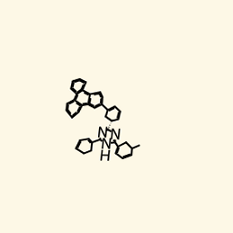 CC1C=CC=C(C2=NC([C@H]3C=CC=C(c4ccc5c6ccccc6c6ccccc6c5c4)C3)=NC(C3=CC=CCC3)N2)C1